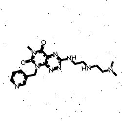 CN(C)CCNCCNc1nnc2c(n1)c(=O)n(C)c(=O)n2Cc1cccnc1